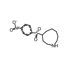 O=[N+]([O-])c1ccc(S(=O)(=O)C2CCCCCNCC2)cc1